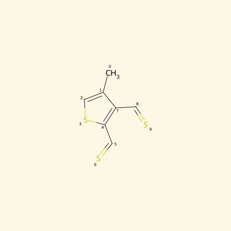 Cc1csc(C=S)c1C=S